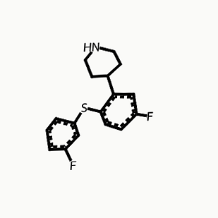 Fc1cccc(Sc2ccc(F)cc2C2CCNCC2)c1